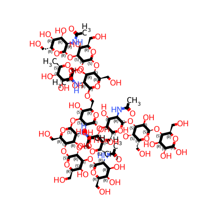 CC(=O)N[C@H]1[C@H](O[C@H]2[C@@H](O)[C@@H](CO)O[C@@H](O[C@H]3[C@H](O)[C@@H](O)[C@H](O)O[C@@H]3CO)[C@@H]2O)O[C@H](CO)[C@@H](O[C@@H]2O[C@H](CO[C@@H]3O[C@H](CO)[C@@H](O[C@@H]4O[C@H](CO)[C@H](O)[C@H](O[C@H]5O[C@H](CO)[C@H](O)[C@H](O)[C@H]5NC(C)=O)[C@H]4O[C@@H]4O[C@@H](C)[C@@H](O)[C@@H](O)[C@@H]4O)[C@H](O)[C@H]3NC(C)=O)[C@H](O)[C@H](O[C@@H]3O[C@H](CO)[C@@H](O[C@@H]4O[C@H](CO)[C@H](O)[C@H](O[C@H]5O[C@H](CO)[C@H](O)[C@H](O)[C@H]5NC(C)=O)[C@H]4O[C@@H]4O[C@@H](C)[C@@H](O)[C@@H](O)[C@@H]4O)[C@H](O)[C@H]3NC(C)=O)[C@H]2O)[C@@H]1O